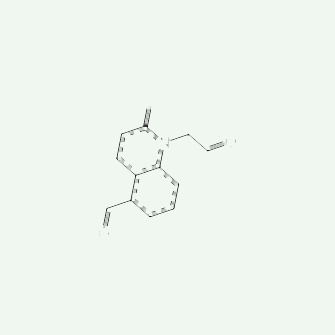 O=CCn1c(=O)ccc2c(C=O)cccc21